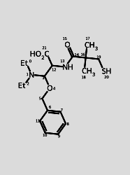 CCN(CC)C(OCc1ccccc1)C(NC(=O)C(C)(C)CS)C(=O)O